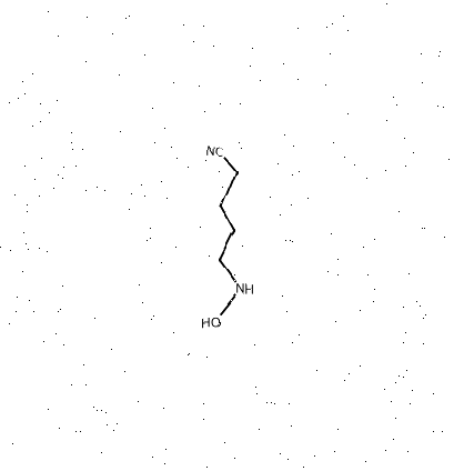 N#CCCCCNO